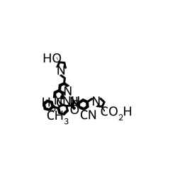 Cc1ccccc1C1=CC=CC(Nc2nccc3cc(CCN4CC[C@@H](O)C4)cnc23)(c2nc3cc(CN4CC[C@@H](C(=O)O)C4)cc(C#N)c3o2)C1C